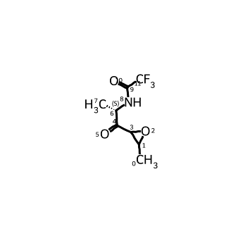 CC1OC1C(=O)[C@H](C)NC(=O)C(F)(F)F